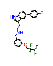 Fc1ccc(-c2ccc3[nH]cc(CCNCc4cccc(OCC(F)(F)C(F)F)c4)c3c2)cc1